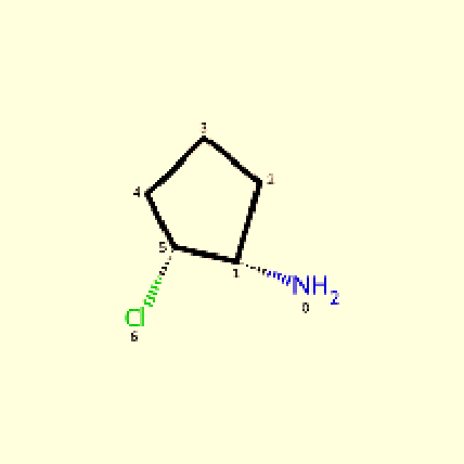 N[C@H]1CCC[C@H]1Cl